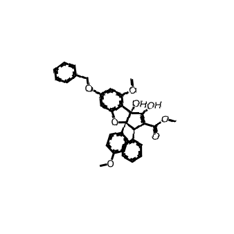 COC(=O)C1=C(O)[C@@]2(O)c3c(OC)cc(OCc4ccccc4)cc3O[C@@]2(c2ccc(OC)cc2)[C@@H]1c1ccccc1